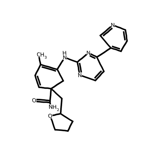 CC1=C(Nc2nccc(-c3cccnc3)n2)CC(CC2CCCO2)(C(N)=O)C=C1